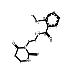 C=C1NCCC(=O)N1CCNC(=O)c1ccccc1NC